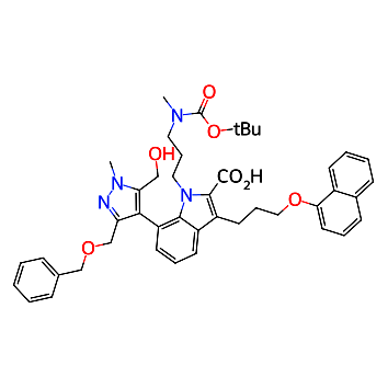 CN(CCCn1c(C(=O)O)c(CCCOc2cccc3ccccc23)c2cccc(-c3c(COCc4ccccc4)nn(C)c3CO)c21)C(=O)OC(C)(C)C